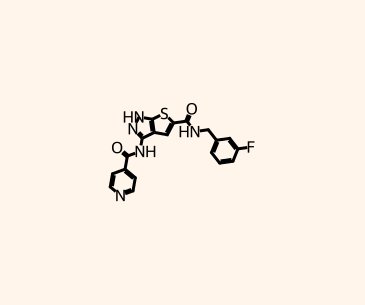 O=C(Nc1n[nH]c2sc(C(=O)NCc3cccc(F)c3)cc12)c1ccncc1